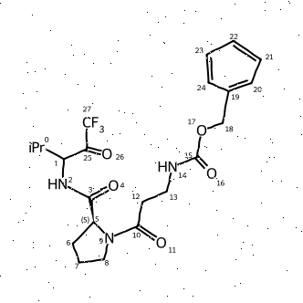 CC(C)C(NC(=O)[C@@H]1CCCN1C(=O)CCNC(=O)OCc1ccccc1)C(=O)C(F)(F)F